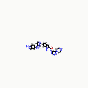 CN1CCN(c2cc(NC(=O)c3cc4ccc(-c5nccc(Nc6ccc7[nH]ncc7c6)n5)cc4[nH]3)cnn2)CC1